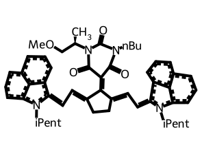 CCCCN1C(=O)C(=C2/C(=C/C=c3\c4cccc5cccc(c54)n3C(C)CCC)CC/C2=C\C=c2/c3cccc4cccc(c43)n2C(C)CCC)C(=O)N([C@H](C)COC)C1=O